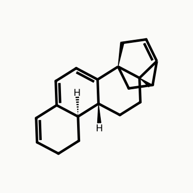 C[C@@]12CC[C@H]3C(=CC=C4C=CCC[C@@H]43)[C@]13CC=C2CC3